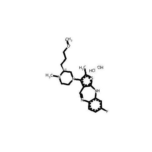 COCCC[C@H]1CN(c2c(C)sc3c2C=Nc2ccc(F)cc2N3)CCN1C.Cl.Cl